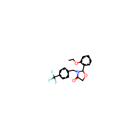 CCOc1ccccc1C1OCC(=O)N1Cc1ccc(C(F)(F)F)cc1